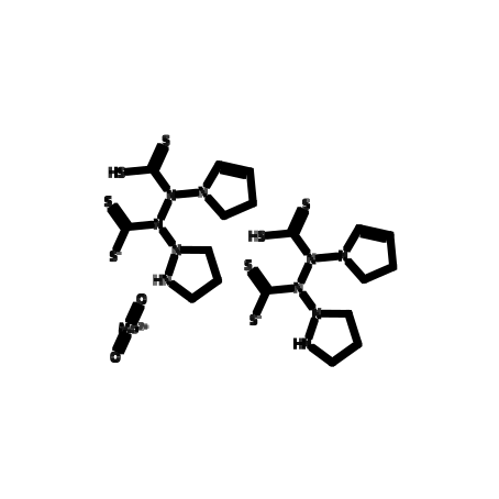 S=C(S)N(N1C=CCC1)N(C(=S)[S-])N1CCCN1.S=C(S)N(N1C=CCC1)N(C(=S)[S-])N1CCCN1.[O]=[Mo+2]=[O]